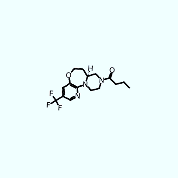 CCCC(=O)N1CCN2c3ncc(C(F)(F)F)cc3OCC[C@H]2C1